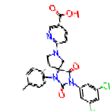 Cc1ccc([C@@H]2CN(c3ccc(C(=O)O)cn3)C[C@]23C(=O)N(c2cc(Cl)cc(Cl)c2)C(=O)N3C)cc1